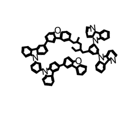 CCC(Cc1cc(-n2c3ccccc3c3ncccc32)cc(-n2c3ccccc3c3ncccc32)c1)CC(C)Cc1ccc2oc3ccc(-c4ccc5c(c4)c4ccccc4n5-c4cccc(-n5c6ccccc6c6cc(-c7ccc8oc9ccccc9c8c7)ccc65)c4)cc3c2c1